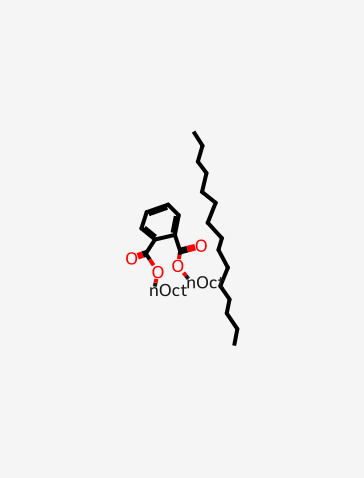 CCCCCCCCCCCCCCC.CCCCCCCCOC(=O)c1ccccc1C(=O)OCCCCCCCC